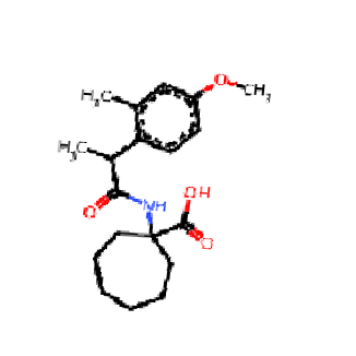 COc1ccc(C(C)C(=O)NC2(C(=O)O)CCCCCC2)c(C)c1